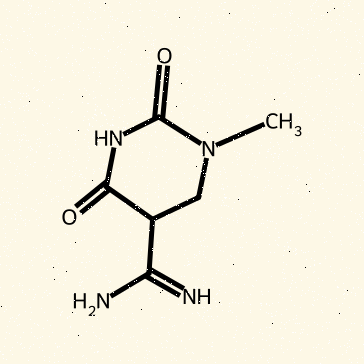 CN1CC(C(=N)N)C(=O)NC1=O